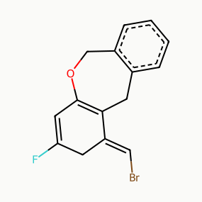 FC1=CC2=C(Cc3ccccc3CO2)C(=CBr)C1